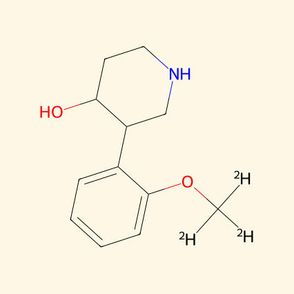 [2H]C([2H])([2H])Oc1ccccc1C1CNCCC1O